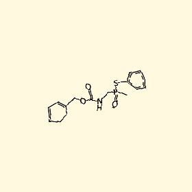 CP(=O)(CNC(=O)OCC1=CC=CCC1)Sc1ccccc1